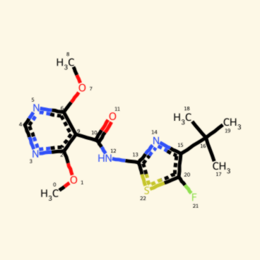 COc1ncnc(OC)c1C(=O)Nc1nc(C(C)(C)C)c(F)s1